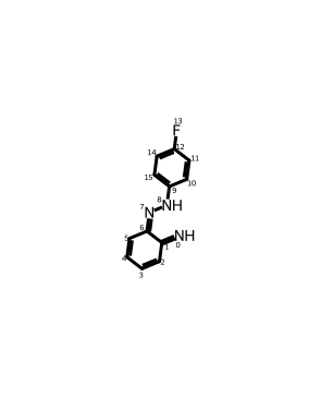 N=C1C=CC=C/C1=N/Nc1ccc(F)cc1